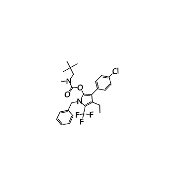 CCc1c(-c2ccc(Cl)cc2)c(OC(=O)N(C)CC(C)(C)C)n(Cc2ccccc2)c1C(F)(F)F